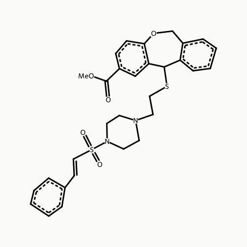 COC(=O)c1ccc2c(c1)C(SCCN1CCN(S(=O)(=O)C=Cc3ccccc3)CC1)c1ccccc1CO2